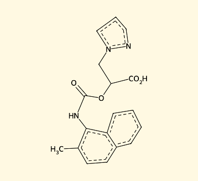 Cc1ccc2ccccc2c1NC(=O)OC(Cn1cccn1)C(=O)O